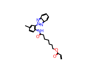 C=CC(=O)OCCCCCCC(=O)Nc1ccc(C)cc1-n1nc2ccccc2n1